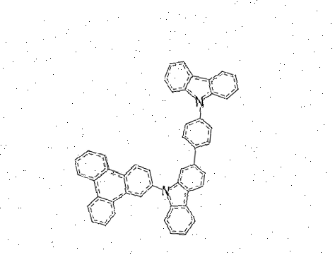 c1ccc2c(c1)c1ccccc1c1cc(-n3c4ccccc4c4ccc(-c5ccc(-n6c7ccccc7c7ccccc76)cc5)cc43)ccc21